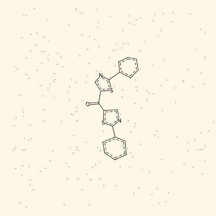 O=C(c1cnc(-c2ccccc2)s1)c1cnc(-c2ccccc2)s1